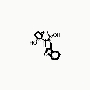 OB(O)[C@H](Cc1coc2ccccc12)N[C@H]1CCC[C@H]1O